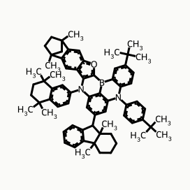 CC(C)(C)c1ccc(N2c3ccc(C(C)(C)C)cc3B3c4oc5cc6c(cc5c4N(c4ccc5c(c4)C(C)(C)CCC5(C)C)c4cc(C5c7ccccc7C7(C)CCCCC57C)cc2c43)C2(C)CCC6(C)C2)cc1